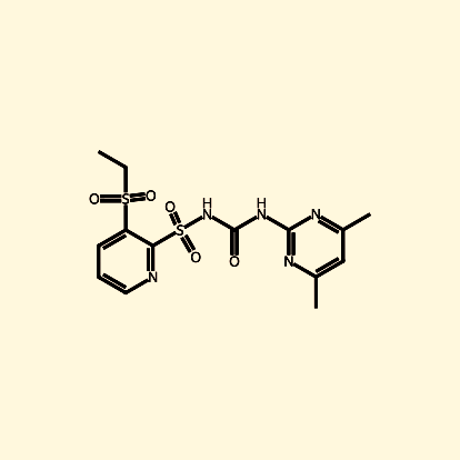 CCS(=O)(=O)c1cccnc1S(=O)(=O)NC(=O)Nc1nc(C)cc(C)n1